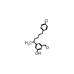 CC(CCCCc1ccc(Cl)cc1)c1cc(O)cc(C=O)c1